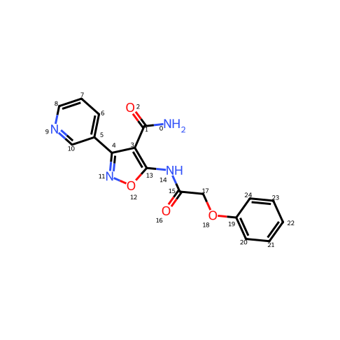 NC(=O)c1c(-c2cccnc2)noc1NC(=O)COc1ccccc1